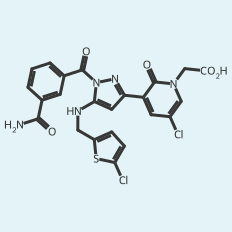 NC(=O)c1cccc(C(=O)n2nc(-c3cc(Cl)cn(CC(=O)O)c3=O)cc2NCc2ccc(Cl)s2)c1